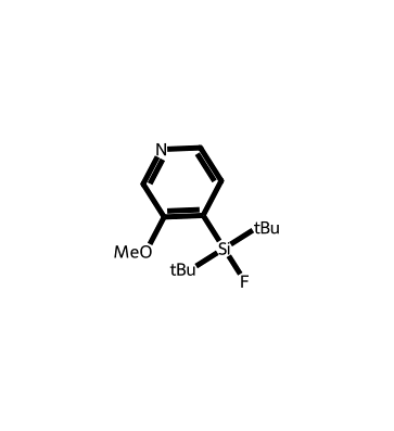 COc1cnccc1[Si](F)(C(C)(C)C)C(C)(C)C